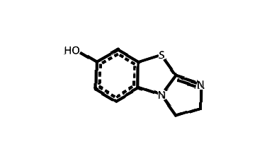 Oc1ccc2c(c1)SC1=NCCN12